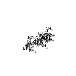 CCNC(=O)[C@H](CCC(N)=O)NC(=O)[C@H](Cc1ccccc1)NC(=O)CNC(=O)CNC(=O)[C@H](CC(N)=O)NC(=O)[C@H](CCC(=O)O)NC(=O)[C@@H](NC(=O)CNC(=O)[C@H](CO)NC(=O)[C@H](CO)NC(=O)[C@H](CCCCN)NC(=O)[C@@H](C)CC(C)C)[C@@H](C)CC